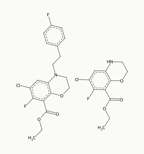 CCOC(=O)c1c(F)c(Cl)cc2c1OCCN2.CCOC(=O)c1c(F)c(Cl)cc2c1OCCN2CCc1ccc(F)cc1